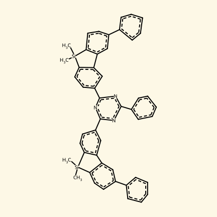 C[Si]1(C)c2ccc(-c3ccccc3)cc2-c2cc(-c3nc(-c4ccccc4)nc(-c4ccc5c(c4)-c4cc(-c6ccccc6)ccc4[Si]5(C)C)n3)ccc21